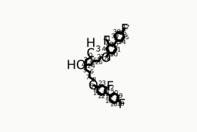 CCCC(O)(CCCCOc1ccc(-c2ccc(F)cc2)c(F)c1)CCCCOc1ccc(-c2ccc(F)cc2)c(F)c1